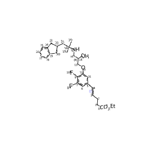 CCOC(=O)CC/C=C/c1cc(F)c(F)c(OC[C@H](O)CNC(C)(C)CC2Cc3ccccc3C2)c1